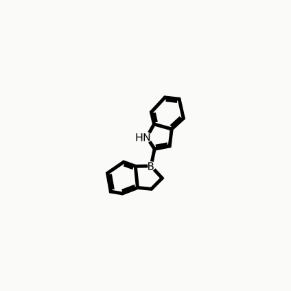 c1ccc2c(c1)CCB2c1cc2ccccc2[nH]1